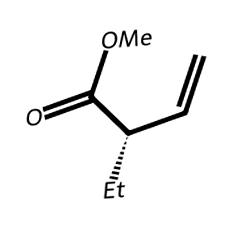 C=C[C@H](CC)C(=O)OC